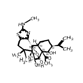 C=C(C)[C@@H]1CC[C@H]2[C@@]34CO[C@@](O)([C@@H](O)[C@@H]3C(C)(C)Cc3sc(NC)nc34)[C@@]2(C(C)=O)[C@@H]1O